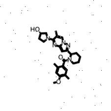 COc1cc(C)c(C(=O)N2CCCCC2c2cc3nc(N4CC[C@@H](O)C4)c(C)cn3n2)cc1C